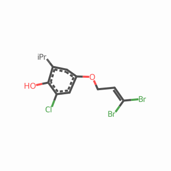 CC(C)c1cc(OCC=C(Br)Br)cc(Cl)c1O